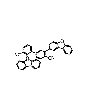 N#Cc1ccc(-c2cccc(C#N)c2-n2c3ccccc3c3ccccc32)cc1-c1ccc2oc3ccccc3c2c1